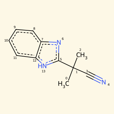 CC(C)(C#N)c1nc2ccccc2[nH]1